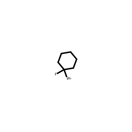 C[C](C)C1(F)CCCCC1